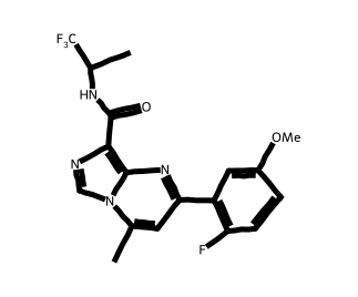 COc1ccc(F)c(-c2cc(C)n3cnc(C(=O)NC(C)C(F)(F)F)c3n2)c1